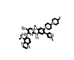 COc1cc(N2CCC(N3CCC(F)CC3)CC2)c(-c2cnn(C)c2)cc1Nc1ncc(Br)c(Nc2ccc3nccnc3c2P(C)C)n1